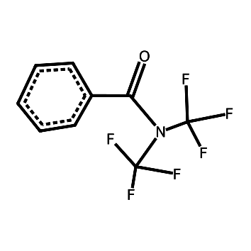 O=C(c1ccccc1)N(C(F)(F)F)C(F)(F)F